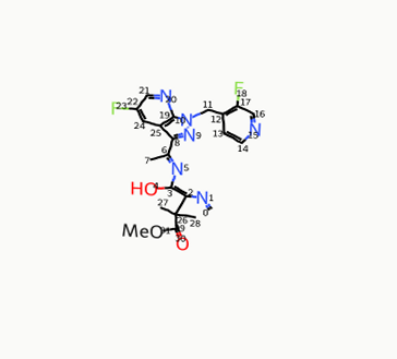 C=N/C(=C(O)\N=C(/C)c1nn(Cc2ccncc2F)c2ncc(F)cc12)C(C)(C)C(=O)OC